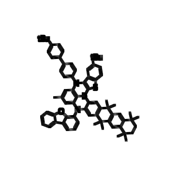 Cc1cc2c3c(c1)N(c1cccc4c1oc1ccccc14)c1cc4c(cc1B3c1sc3ccc(C(C)(C)C)cc3c1N2c1ccc(-c2ccc(C(C)(C)C)cc2)cc1)C(C)(C)c1cc2c(cc1C4(C)C)C(C)(C)CCC2(C)C